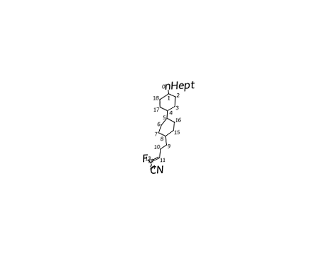 CCCCCCCC1CCC(C2CCC(CCC=C(F)C#N)CC2)CC1